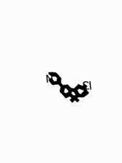 CC1(C)c2ccc(Cl)cc2-c2cc(-c3cccnc3)ccc21